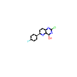 Oc1nc(Cl)nc2ccc(-c3ccc(F)cc3)nc12